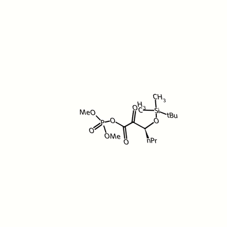 CCC[C@H](O[Si](C)(C)C(C)(C)C)C(=O)C(=O)OP(=O)(OC)OC